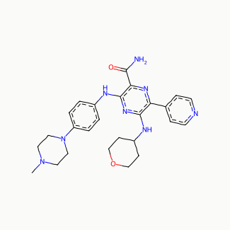 CN1CCN(c2ccc(Nc3nc(NC4CCOCC4)c(-c4ccncc4)nc3C(N)=O)cc2)CC1